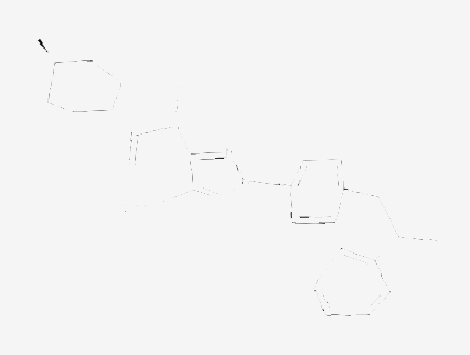 CCOC(=O)c1cn(-c2ccc(CC(C)c3ccccc3)cc2)nc1N(C(=O)[C@H]1CC[C@H](C)CC1)C(C)C